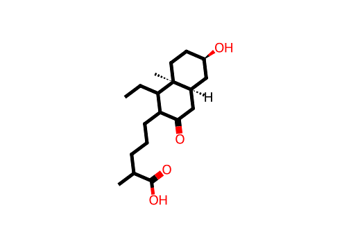 CCC1C(CCCC(C)C(=O)O)C(=O)C[C@@H]2C[C@H](O)CC[C@]12C